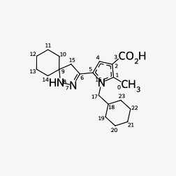 Cc1c(C(=O)O)cc(C2=NNC3(CCCCC3)C2)n1CC1CCCCC1